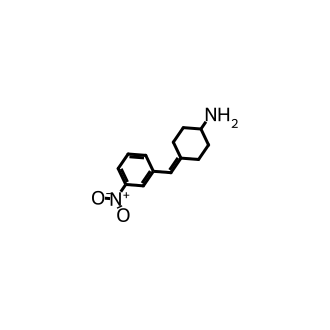 NC1CCC(=Cc2cccc([N+](=O)[O-])c2)CC1